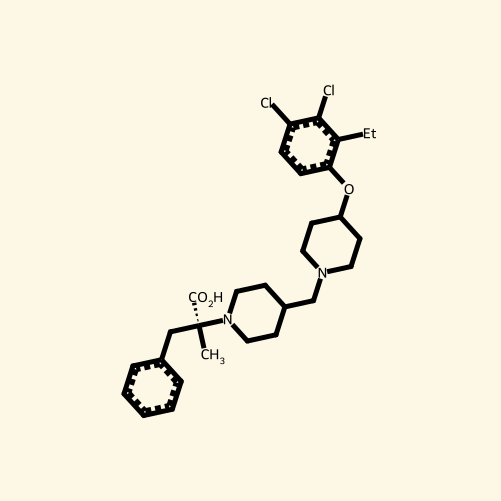 CCc1c(OC2CCN(CC3CCN([C@@](C)(Cc4ccccc4)C(=O)O)CC3)CC2)ccc(Cl)c1Cl